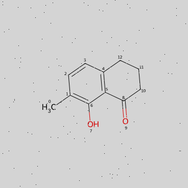 Cc1ccc2c(c1O)C(=O)CCC2